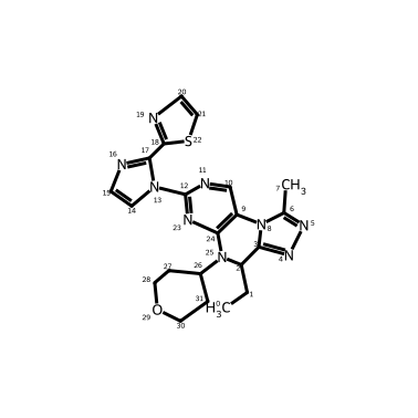 CCC1c2nnc(C)n2-c2cnc(-n3ccnc3-c3nccs3)nc2N1C1CCOCC1